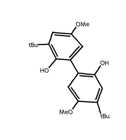 COc1cc(-c2cc(OC)c(C(C)(C)C)cc2O)c(O)c(C(C)(C)C)c1